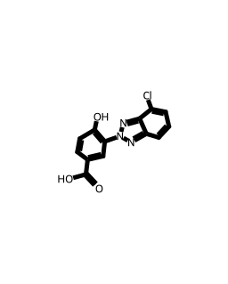 O=C(O)c1ccc(O)c(-n2nc3cccc(Cl)c3n2)c1